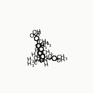 C=C(C)[C@@H]1CC[C@]2(NCC[C@]3(O)CC[C@](C)(O)CC3)CC[C@]3(C)[C@H](CC[C@@H]4[C@@]5(C)CC=C(C6=CCC(CF)(C(=O)O)CC6)C(C)(C)[C@@H]5CC[C@]43C)[C@@H]12